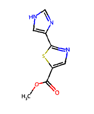 COC(=O)c1cnc(-c2c[nH]cn2)s1